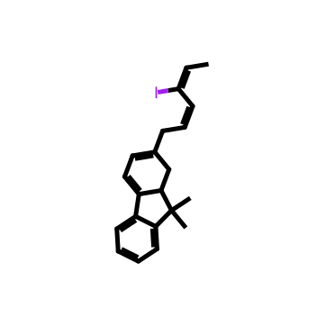 C/C=C(I)\C=C/CC1=CC=C2c3ccccc3C(C)(C)C2C1